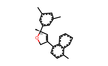 Cc1cc(C)cc([C@]2(C)C=C(c3ccc(C)c4ccccc34)CO2)c1